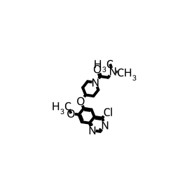 COc1cc2ncnc(Cl)c2cc1OC1CCN(C(=O)CN(C)C)CC1